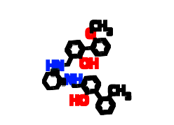 COc1ccccc1-c1cccc(CN[C@H]2CCCC[C@@H]2NCc2cccc(-c3ccccc3C)c2O)c1O